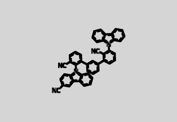 N#Cc1ccc2c(c1)c1ccccc1n2-c1c(C#N)cccc1-c1cccc(-c2cccc(-n3c4ccccc4c4ccccc43)c2C#N)c1